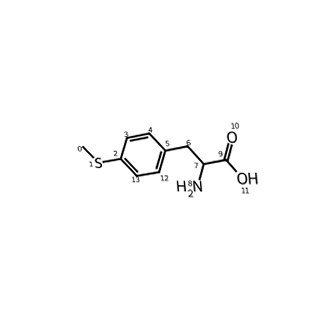 CSc1ccc(CC(N)C(=O)O)cc1